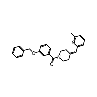 Cc1cccc(C=C2CCN(C(=O)c3cccc(OCc4ccccc4)c3)CC2)n1